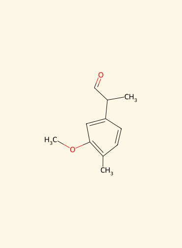 COc1cc(C(C)C=O)ccc1C